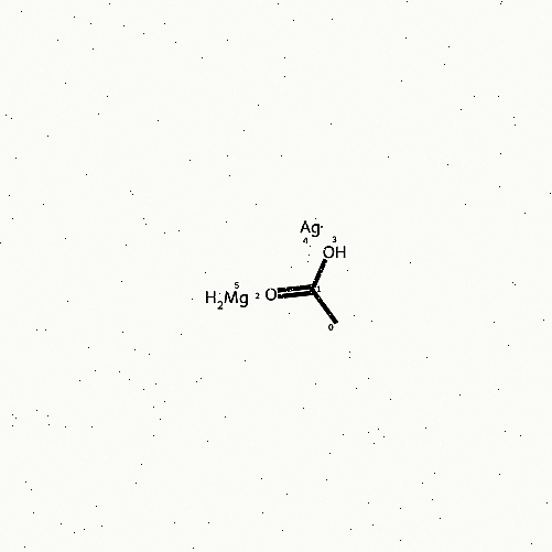 CC(=O)O.[Ag].[MgH2]